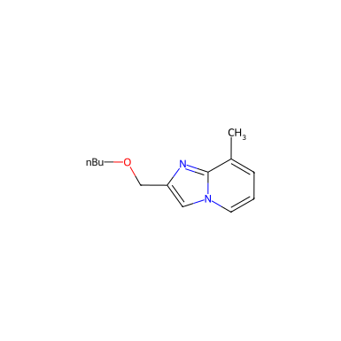 CCCCOCc1cn2cccc(C)c2n1